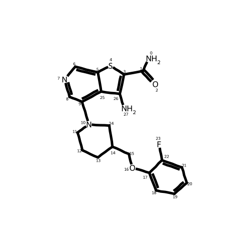 NC(=O)c1sc2cncc(N3CCCC(COc4ccccc4F)C3)c2c1N